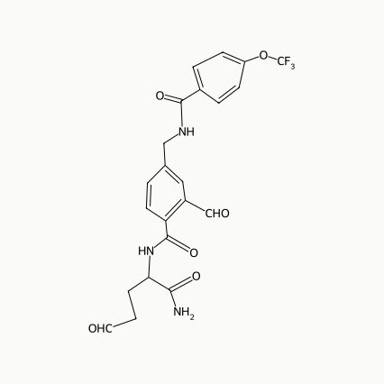 NC(=O)C(CCC=O)NC(=O)c1ccc(CNC(=O)c2ccc(OC(F)(F)F)cc2)cc1C=O